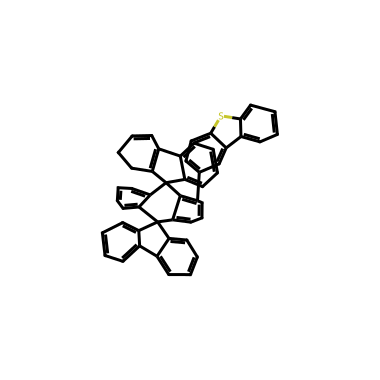 C1=CC2=C(CC1)C1(c3ccccc32)c2ccccc2C2(c3ccccc3-c3ccccc32)c2cccc(-c3ccc4sc5ccccc5c4c3)c21